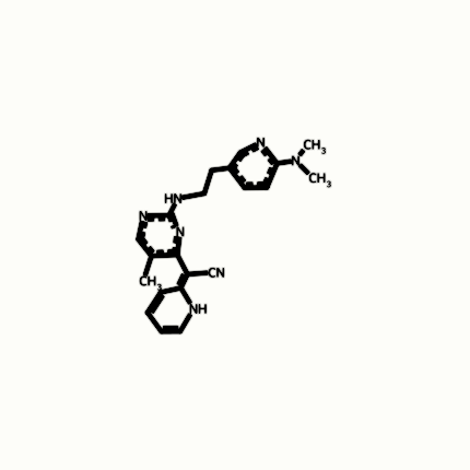 Cc1cnc(NCCc2ccc(N(C)C)nc2)nc1C(C#N)=C1C=CC=CN1